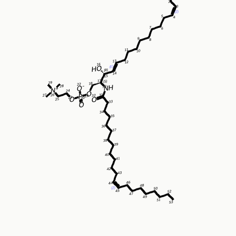 CCC/C=C\CCCCCCCC/C=C/[C@@H](O)[C@H](COP(=O)([O-])OCC[N+](C)(C)C)NC(=O)CCCCCCCCCCC/C=C\CCCCCCCC